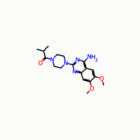 COc1cc2nc(N3CCN(C(=O)C(C)C)CC3)nc(N)c2cc1OC